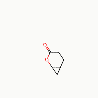 O=C1CCC2CC2O1